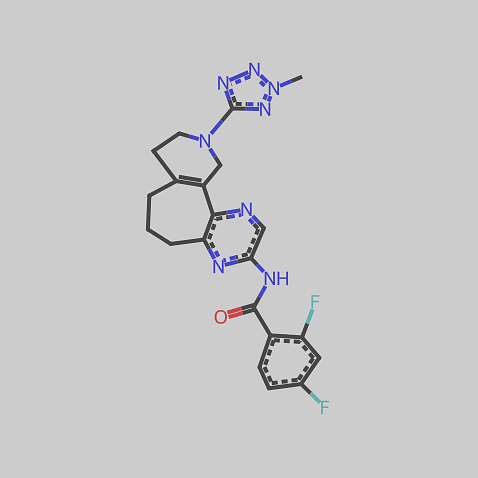 Cn1nnc(N2CCC3=C(C2)c2ncc(NC(=O)c4ccc(F)cc4F)nc2CCC3)n1